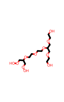 OCCOCC(COCCO)OCCOCCOC(COO)COO